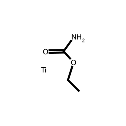 CCOC(N)=O.[Ti]